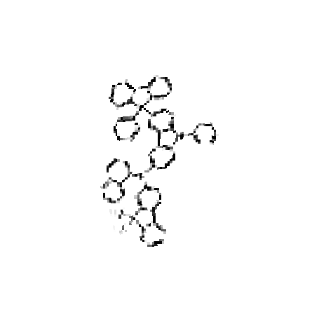 CC1(C)c2ccccc2-c2ccc(N(c3ccc4c(c3)c3cc(C5(c6ccccc6)c6ccccc6-c6ccccc65)ccc3n4-c3ccccc3)c3cccc4ccccc34)cc21